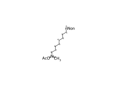 CCCCCCCCCCCCCCCCCN(C)OC(C)=O